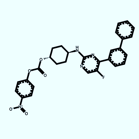 O=C(Oc1ccc([N+](=O)[O-])cc1)O[C@H]1CC[C@H](Nc2ncc(F)c(-c3cccc(-c4ccccc4)c3)n2)CC1